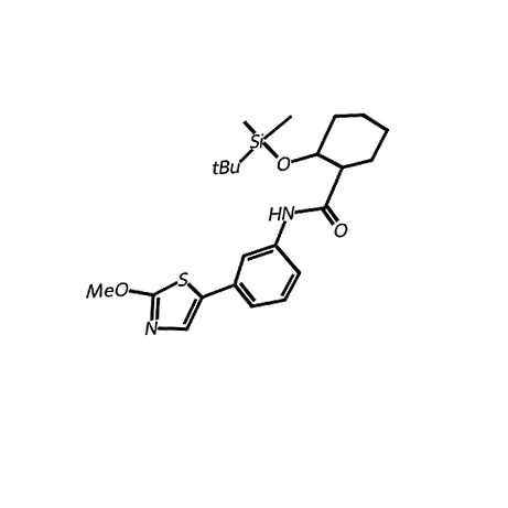 COc1ncc(-c2cccc(NC(=O)C3CCCCC3O[Si](C)(C)C(C)(C)C)c2)s1